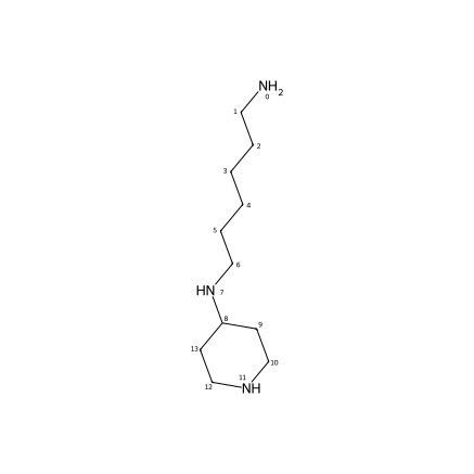 NCCCCCCNC1CCNCC1